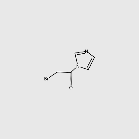 O=C(CBr)n1ccnc1